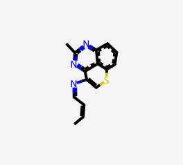 C/C=C\C=N/C1=CSc2cccc3nc(C)nc1c23